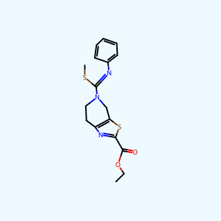 CCOC(=O)c1nc2c(s1)CN(C(=Nc1ccccc1)SC)CC2